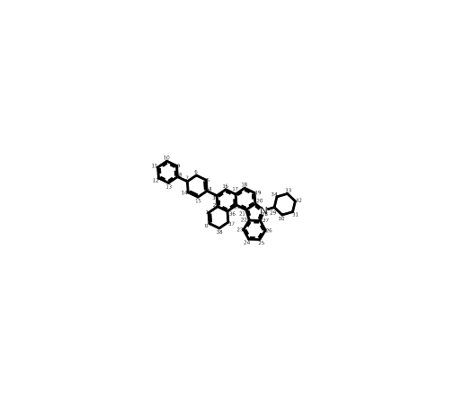 C1=Cc2c(C3=CCC(c4ccccc4)C=C3)cc3ccc4c(c5ccccc5n4C4CCCCC4)c3c2CC1